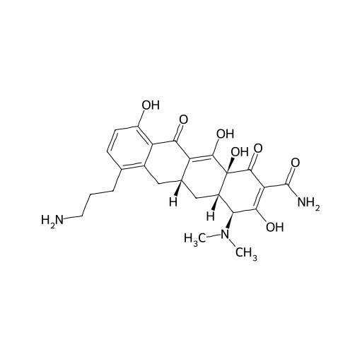 CN(C)[C@@H]1C(O)=C(C(N)=O)C(=O)[C@@]2(O)C(O)=C3C(=O)c4c(O)ccc(CCCN)c4C[C@H]3C[C@@H]12